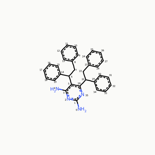 Nc1nc(N)c(C(Cc2ccccc2)c2ccccc2)c(C(Cc2ccccc2)c2ccccc2)n1